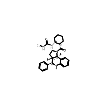 CCNC(=O)N[C@@H]1CCCC[C@@H]1C(=O)N1CC[C@H]2[C@H](c3ccccc3)Nc3ccccc3[C@@H]21